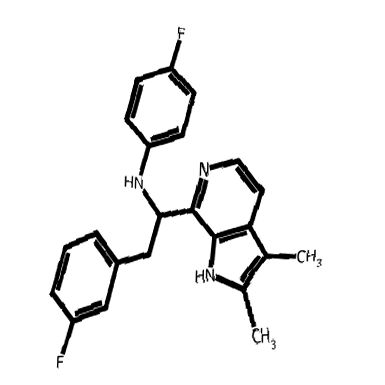 Cc1[nH]c2c(C(Cc3cccc(F)c3)Nc3ccc(F)cc3)nccc2c1C